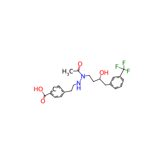 CC(=O)N(CCC(O)Cc1cccc(C(F)(F)F)c1)NCCc1ccc(C(=O)O)cc1